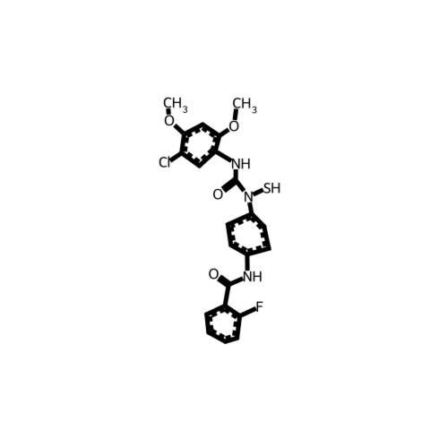 COc1cc(OC)c(NC(=O)N(S)c2ccc(NC(=O)c3ccccc3F)cc2)cc1Cl